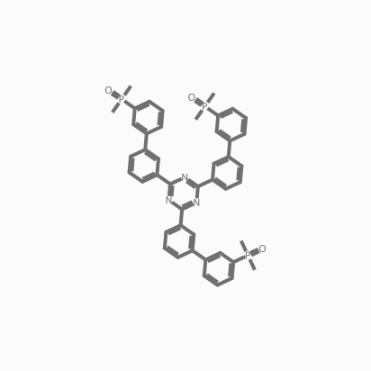 CP(C)(=O)c1cccc(-c2cccc(-c3nc(-c4cccc(-c5cccc(P(C)(C)=O)c5)c4)nc(-c4cccc(-c5cccc(P(C)(C)=O)c5)c4)n3)c2)c1